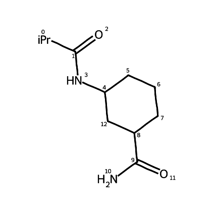 CC(C)C(=O)NC1CCCC(C(N)=O)C1